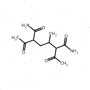 [CH2]C(CC(C(C)=O)C(N)=O)C(C(C)=O)C(N)=O